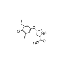 CCc1cc(O[C@@H]2CN[C@H](C(=O)O)C2)cc(F)c1Cl